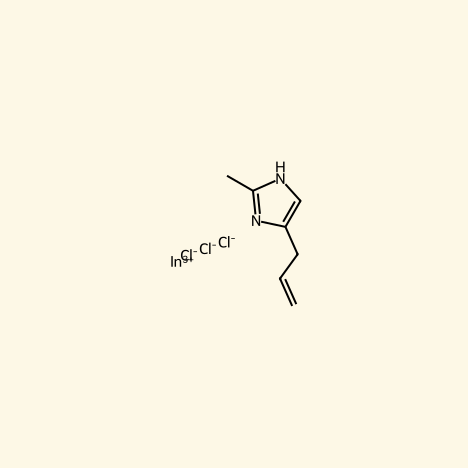 C=CCc1c[nH]c(C)n1.[Cl-].[Cl-].[Cl-].[In+3]